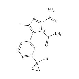 CC1=C(c2ccnc(C3(C#N)CC3)c2)[SH](C(N)=O)C(C(N)=O)=N1